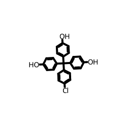 Oc1ccc(C(c2ccc(O)cc2)(c2ccc(O)cc2)c2ccc(Cl)cc2)cc1